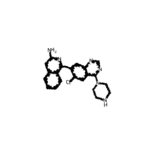 Nc1cc2ccccc2c(-c2cc3ncnc(N4CCNCC4)c3cc2Cl)n1